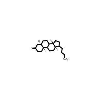 C[C@H](CCC(=O)O)C1CC[C@H]2C3CC[C@@H]4CC(=O)CC[C@]4(C)C3CC[C@]12C